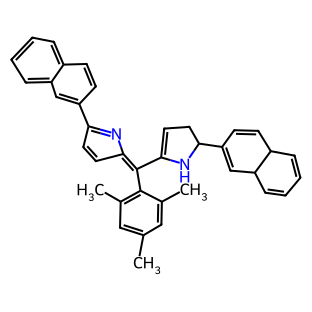 Cc1cc(C)c(/C(C2=CCC(C3=CC4C=CC=CC4C=C3)N2)=C2\C=CC(c3ccc4ccccc4c3)=N2)c(C)c1